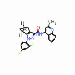 Cc1cc(NC(=O)c2nn(-c3ccc(F)cc3F)c3c2C[C@H]2C[C@@H]32)c2ccccc2n1